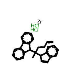 C=CCCC(C)(C1C=Cc2ccccc21)C1c2ccccc2-c2ccccc21.Cl.Cl.[Zr]